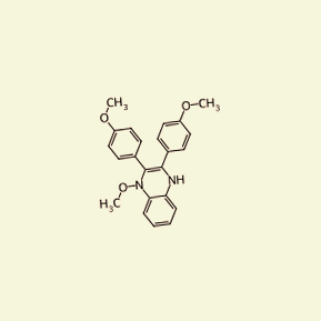 COc1ccc(C2=C(c3ccc(OC)cc3)N(OC)c3ccccc3N2)cc1